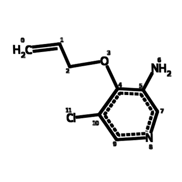 C=CCOc1c(N)cncc1Cl